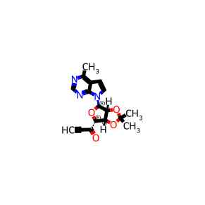 C#CC(=O)[C@@H]1O[C@@H](n2ccc3c(C)ncnc32)[C@@H]2OC(C)(C)O[C@@H]21